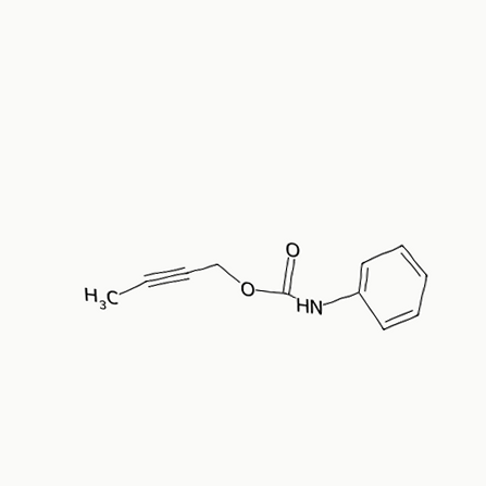 CC#CCOC(=O)Nc1ccccc1